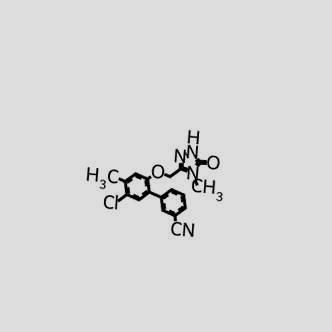 Cc1cc(OCc2n[nH]c(=O)n2C)c(-c2cccc(C#N)c2)cc1Cl